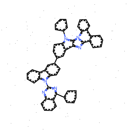 c1ccc(-c2nc(-n3c4ccccc4c4cc(-c5ccc6c(c5)c5nc7c8ccccc8c8ccccc8n7c5n6-c5ccccc5)ccc43)nc3ccccc23)cc1